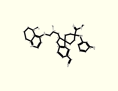 COC(=O)C1(Nc2cccc(Cl)c2)CCC2(CC1)c1cc(C=O)ccc1CC2C[C@@H](C)COc1ccnc2c1[C@H](C)CCC2